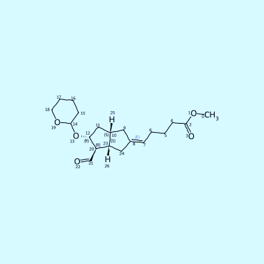 COC(=O)CCC/C=C1\C[C@H]2C[C@@H](OC3CCCCO3)[C@H](C=O)[C@H]2C1